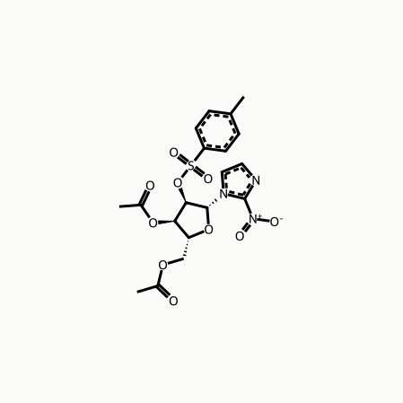 CC(=O)OC[C@H]1O[C@@H](n2ccnc2[N+](=O)[O-])[C@H](OS(=O)(=O)c2ccc(C)cc2)[C@@H]1OC(C)=O